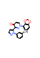 N#Cc1cccc(-n2nccc2-c2nn(-c3cccc4c3OCO4)ccc2=O)c1